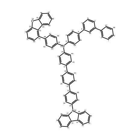 c1ccc(-c2cccc(-c3ccc(N(c4ccc(-c5ccc(-c6ccc(-n7c8ccccc8c8ccccc87)cc6)cc5)cc4)c4ccc(-c5cccc6oc7ccccc7c56)cc4)cc3)c2)cc1